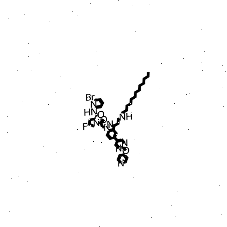 CCCCCCCCCCCCCNCCc1nn(CC(=O)N2C[C@H](F)C[C@H]2C(=O)Nc2cccc(Br)n2)c2ccc(-c3cnc(Oc4ccncc4)nc3)cc12